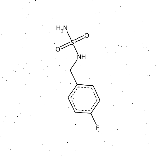 NS(=O)(=O)NCc1ccc(F)cc1